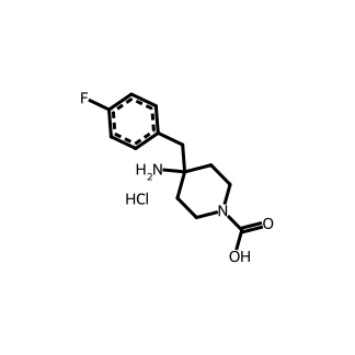 Cl.NC1(Cc2ccc(F)cc2)CCN(C(=O)O)CC1